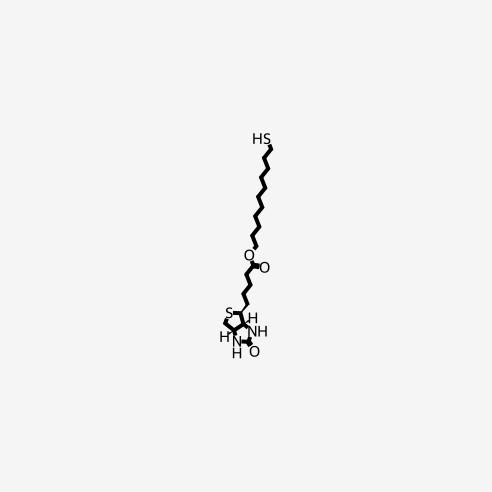 O=C1N[C@H]2[C@H](CS[C@H]2CCCCC(=O)OCCCCCCCCCCCS)N1